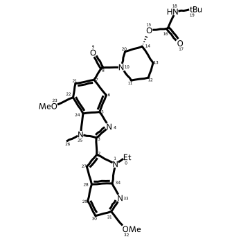 CCn1c(-c2nc3cc(C(=O)N4CCC[C@@H](OC(=O)NC(C)(C)C)C4)cc(OC)c3n2C)cc2ccc(OC)nc21